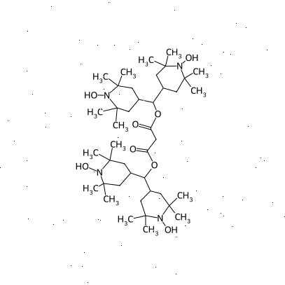 CC1(C)CC(C(OC(=O)CC(=O)OC(C2CC(C)(C)N(O)C(C)(C)C2)C2CC(C)(C)N(O)C(C)(C)C2)C2CC(C)(C)N(O)C(C)(C)C2)CC(C)(C)N1O